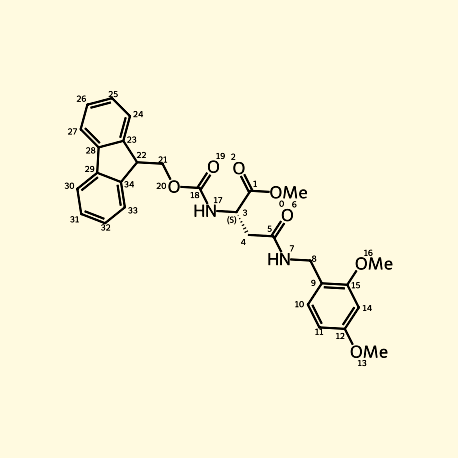 COC(=O)[C@H](CC(=O)NCc1ccc(OC)cc1OC)NC(=O)OCC1c2ccccc2-c2ccccc21